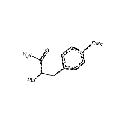 COc1ccc(CC(C(N)=O)C(C)(C)C)cc1